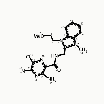 COCCn1c(CNC(=O)c2nc(Cl)c(N)nc2N)[n+](C)c2ccccc21